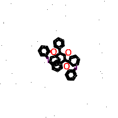 O=C(C(c1ccccc1)C1(Oc2ccccc2I)C=CC=CC1)C(c1ccccc1)C1(Oc2ccccc2I)C=CC=CC1